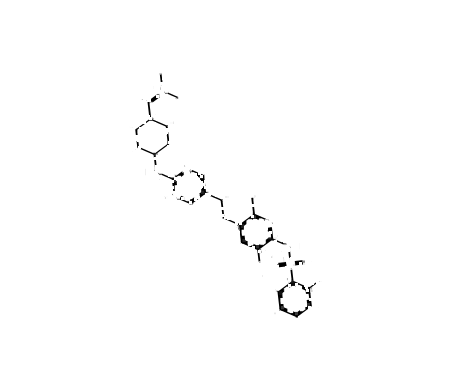 Cc1nc(NS(=O)(=O)c2ccccc2Cl)c(F)cc1CCc1cnc(NC2CCC(C=[N+](C)C)CC2)nc1